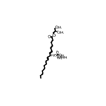 CCCCCCCCC=CCCCCCCCC(=O)OCC(O)CO.O=P(O)(O)O.[NaH]